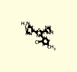 Cc1ccc(-c2nc(-c3cc(N)ncn3)sc2-c2ncc[nH]2)c(Cl)c1